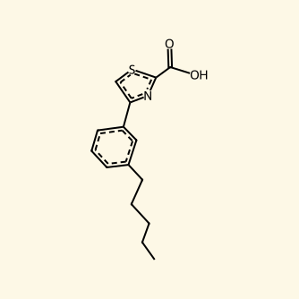 CCCCCc1cccc(-c2csc(C(=O)O)n2)c1